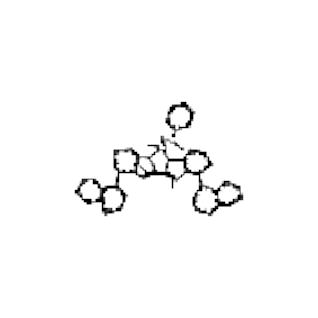 CCC1=Cc2c(-c3cccc4ccccc34)cccc2[CH]1[Zr]([CH3])([CH3])([CH]1C(CC)=Cc2c(-c3cccc4ccccc34)cccc21)[SiH](C)c1ccccc1